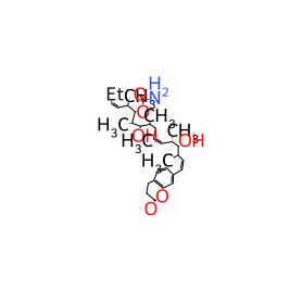 CC/C=C\C(C)[C@H](OC(N)=O)[C@@H](C)[C@H](O)[C@@H](C)C/C(C)=C\[C@H](C)[C@@H](O)C(C)/C=C\c1ccc2c(c1)OC(=O)CC2